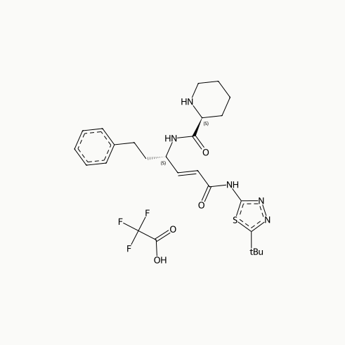 CC(C)(C)c1nnc(NC(=O)C=C[C@H](CCc2ccccc2)NC(=O)[C@@H]2CCCCN2)s1.O=C(O)C(F)(F)F